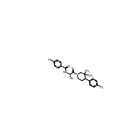 CC(C)[C@@H](NC(=O)c1ccc(Cl)cc1)C(=O)N1CCC(c2ccc(Cl)cc2)C(C)(C)C1